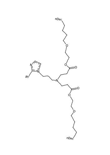 CCCCCCCCCCCCCCOCCOC(=O)CCN(CCCn1ccnc1C(C)C)CCC(=O)OCCOCCCCCCCCCCCCCC